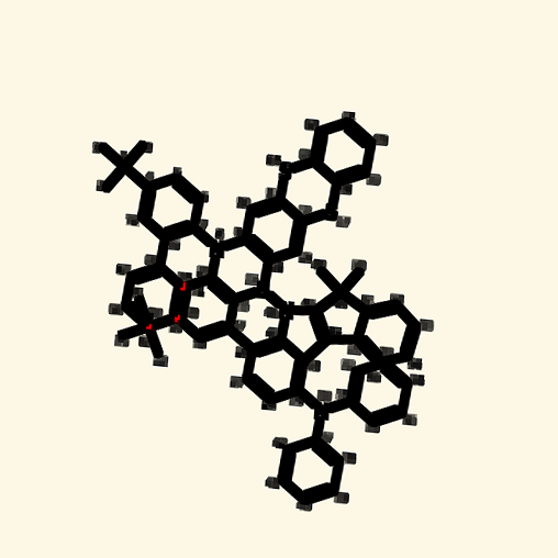 CC(C)(C)c1ccc(N2c3cc4c(cc3B3c5c(cc(C(C)(C)C)cc52)-c2ccc(N(c5ccccc5)c5ccccc5)c5c6c(n3c25)C(C)(C)c2ccccc2-6)Sc2ccccc2S4)c(-c2ccccc2)c1